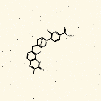 CNC(=O)c1ccc(N2CC3CCC2CN3Cc2ccc3nc(C)c(=O)[nH]c3c2F)c(F)n1